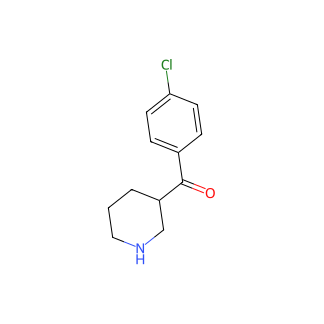 O=C(c1ccc(Cl)cc1)C1CCCNC1